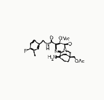 COc1c(C(=O)NCc2ccc(F)c(C)c2)nc2n(c1=O)CC1(COC(C)=O)CCC2(N)CC1